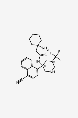 N#Cc1ccc([C@]2(NC(=O)CC3(N)CCCCC3)CNC[C@H](C(F)(F)F)C2)c2cccnc12